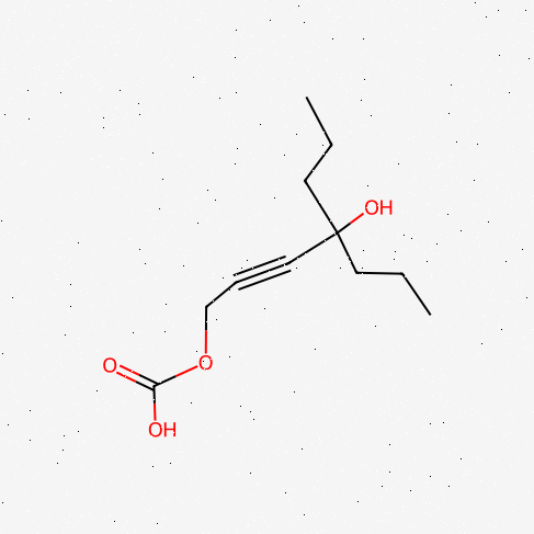 CCCC(O)(C#CCOC(=O)O)CCC